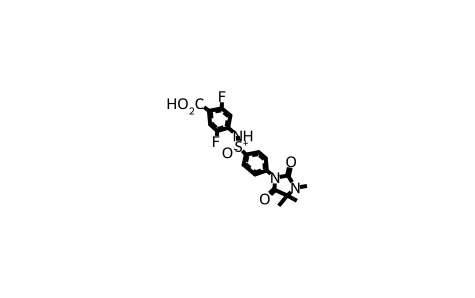 CN1C(=O)N(c2ccc([S+]([O-])Nc3cc(F)c(C(=O)O)cc3F)cc2)C(=O)C1(C)C